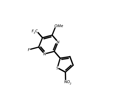 COc1nc(-c2ccc([N+](=O)[O-])s2)nc(F)c1C(F)(F)F